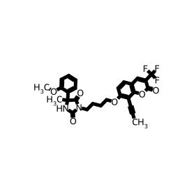 CC#Cc1c(OCCCCN2C(=O)NC(C)(c3ccccc3OC)C2=O)ccc2cc(C(F)(F)F)c(=O)oc12